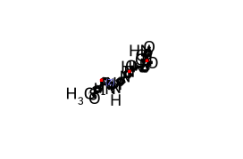 C[S+]([O-])c1ccc(-c2ccc/c(=N/C(=N)Nc3ccc(N4CCN(C(=O)CNc5cccc6c5C(=O)N(C5CCC(=O)NC5=O)C6=O)CC4)cc3)[nH]2)cc1